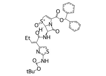 CC/C=C(\C(=O)N[C@@H]1C(=O)N2C(C(=O)OC(c3ccccc3)c3ccccc3)=CC[S+]([O-])[C@H]12)c1csc(NC(=O)OC(C)(C)C)n1